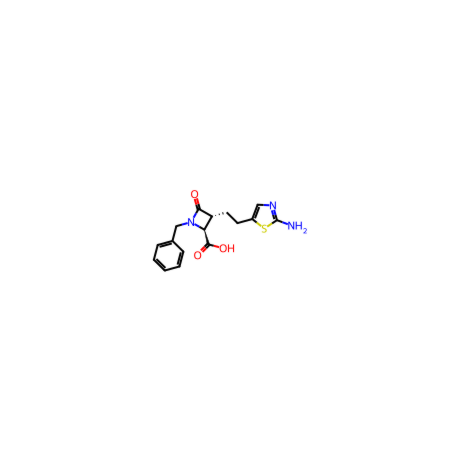 Nc1ncc(CC[C@H]2C(=O)N(Cc3ccccc3)[C@@H]2C(=O)O)s1